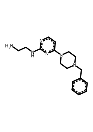 NCCNc1nccc(N2CCN(Cc3ccccc3)CC2)n1